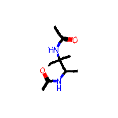 CC(=O)NC(C)C(C)(C)NC(C)=O